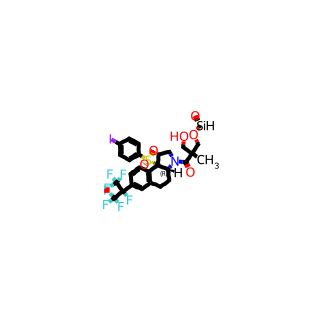 CC(CO)(CO[SiH]=O)C(=O)N1CC[C@@]2(S(=O)(=O)c3ccc(I)cc3)c3ccc(C(F)(C(F)(F)F)C(F)(F)F)cc3CC[C@@H]12